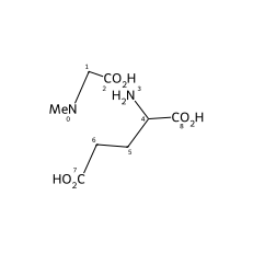 CNCC(=O)O.NC(CCC(=O)O)C(=O)O